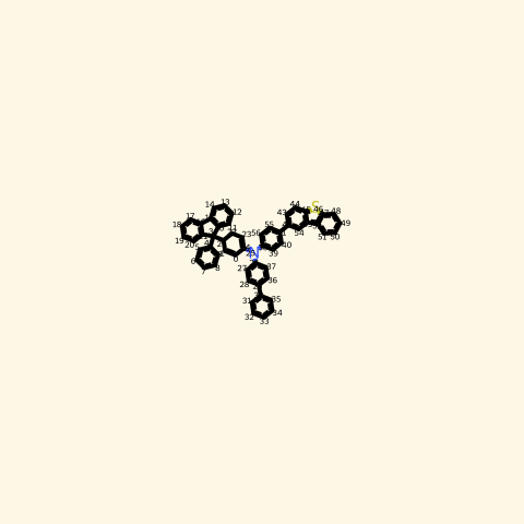 C1=CC(C2(c3ccccc3)c3ccccc3-c3ccccc32)CC=C1N(c1ccc(-c2ccccc2)cc1)c1ccc(-c2ccc3sc4ccccc4c3c2)cc1